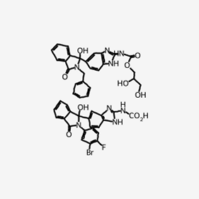 O=C(Nc1nc2cc(C3(O)c4ccccc4C(=O)N3Cc3ccccc3)ccc2[nH]1)OCC(O)CO.O=C(O)Nc1nc2cc(C3(O)c4ccccc4C(=O)N3c3ccc(F)c(Br)c3)ccc2[nH]1